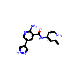 C=C/C=C(\C=C/N)NC(=O)c1cc(-c2cn[nH]c2)cnc1N